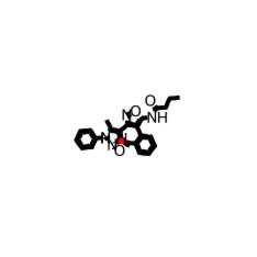 CCCC(=O)Nc1onc(-c2c(C)nn(-c3ccccc3)c2C)c1-c1ccccc1C(N)=O